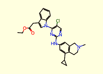 CCOC(=O)Cc1cn(-c2nc(Nc3cc4c(c(C5CC5)c3)CCN(C)C4)ncc2Cl)c2ccccc12